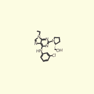 CCn1cnc2c(Nc3cccc(Cl)c3)nc(N3CCC[C@@H]3CO)nc21